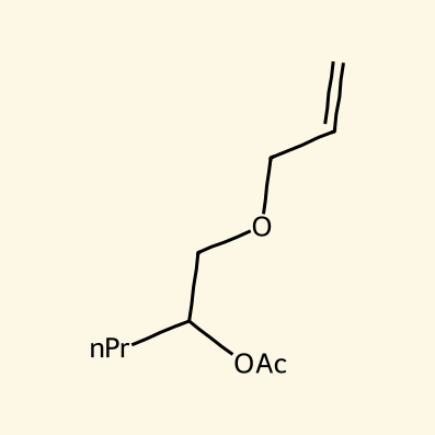 C=CCOCC(CCC)OC(C)=O